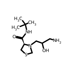 CC(C)(C)NC(=O)[C@@H]1CSCN1CC(O)CN